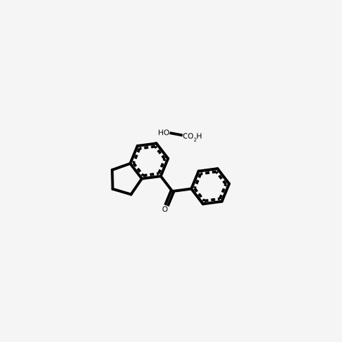 O=C(O)O.O=C(c1ccccc1)c1cccc2c1CCC2